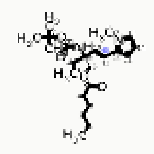 CCCCCC(=O)OC[C@](/C=C/c1cccn1C)(CC)NC(=O)OC(C)(C)C